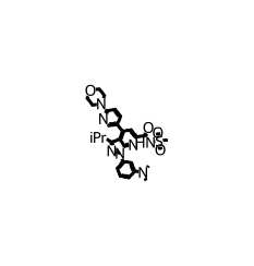 CC(C)c1nn(-c2cccc(N(C)C)c2)c2nc(C(=O)NS(C)(=O)=O)cc(-c3ccc(N4CCOCC4)nc3)c12